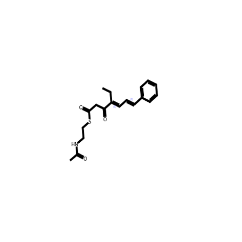 CC/C(=C\C=C\c1ccccc1)C(=O)CC(=O)SCCNC(C)=O